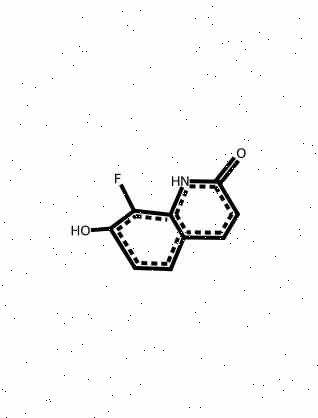 O=c1ccc2ccc(O)c(F)c2[nH]1